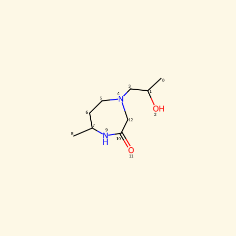 CC(O)CN1CCC(C)NC(=O)C1